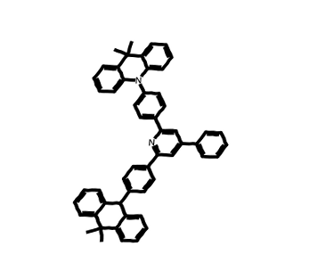 CC1(C)c2ccccc2C(c2ccc(-c3cc(-c4ccccc4)cc(-c4ccc(N5c6ccccc6C(C)(C)c6ccccc65)cc4)n3)cc2)c2ccccc21